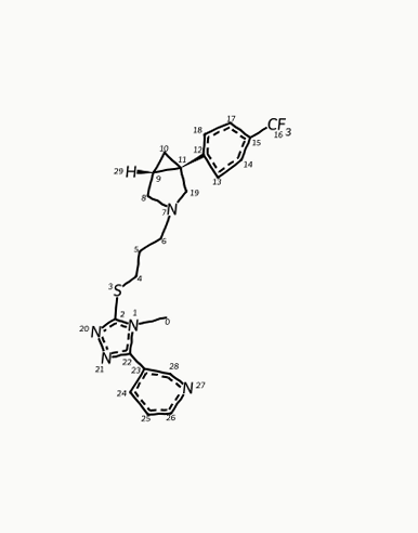 Cn1c(SCCCN2C[C@@H]3C[C@]3(c3ccc(C(F)(F)F)cc3)C2)nnc1-c1cccnc1